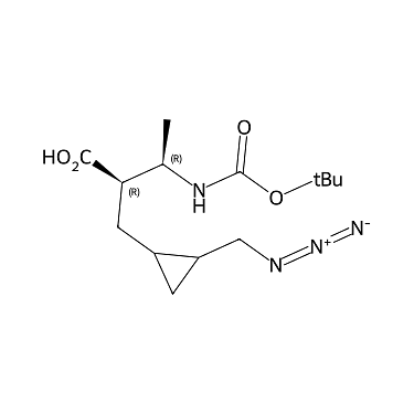 C[C@@H](NC(=O)OC(C)(C)C)[C@@H](CC1CC1CN=[N+]=[N-])C(=O)O